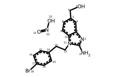 Nc1nc2cc(CO)ccc2n1CCc1ccc(Br)cc1.O=NO